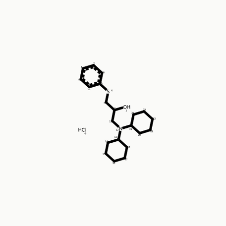 Cl.OC(CSc1ccccc1)CN(C1CCCCC1)C1CCCCC1